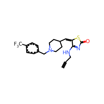 C#CCNC1=NC(=O)SC1=CC1CCN(Cc2ccc(C(F)(F)F)cc2)CC1